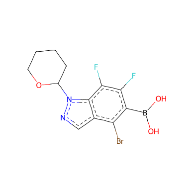 OB(O)c1c(F)c(F)c2c(cnn2C2CCCCO2)c1Br